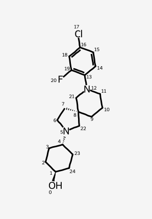 O[C@H]1CC[C@H](N2CC[C@]3(CCCN(c4ccc(Cl)cc4F)C3)C2)CC1